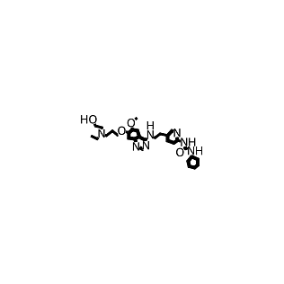 CCN(CCO)CCCOc1cc2ncnc(NCCc3ccc(NC(=O)Nc4ccccc4)nc3)c2cc1OC